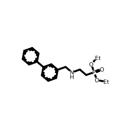 CCOP(=O)(CCNCc1cccc(-c2ccccc2)c1)OCC